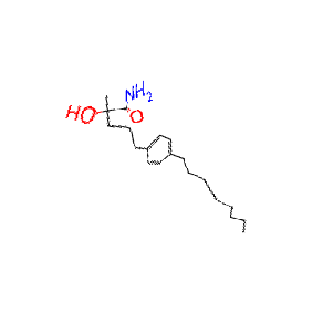 CCCCCCCCc1ccc(CCCC(C)(O)C(N)=O)cc1